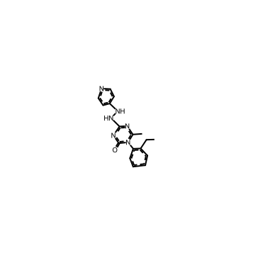 CCc1ccccc1-n1c(C)nc(NNc2ccncc2)nc1=O